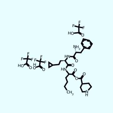 CCCCC(NC(=O)[C@@H](CCC1CC1)NC(=O)[C@H](N)Cc1ccccc1)C(=O)OC(=O)C1CCNCC1.O=C(O)C(F)(F)F.O=C(O)C(F)(F)F.O=C(O)C(F)(F)F